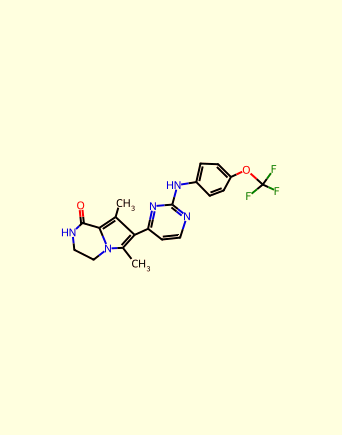 Cc1c(-c2ccnc(Nc3ccc(OC(F)(F)F)cc3)n2)c(C)n2c1C(=O)NCC2